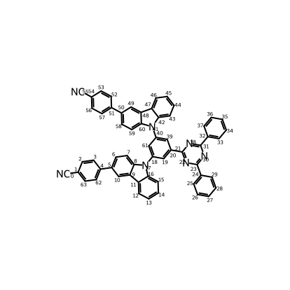 N#Cc1ccc(-c2ccc3c(c2)c2ccccc2n3-c2cc(-c3nc(-c4ccccc4)nc(-c4ccccc4)n3)cc(-n3c4ccccc4c4cc(-c5ccc(C#N)cc5)ccc43)c2)cc1